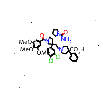 COc1cc(C(=O)N2CCC(CCN3CCC(C(=O)O)(c4ccccc4)CC3)(c3ccc(Cl)c(Cl)c3)C2)cc(OC)c1OC.NC(=O)N1CCCC1